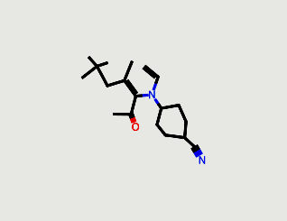 C=CN(/C(C(C)=O)=C(\C)CC(C)(C)C)C1CCC(C#N)CC1